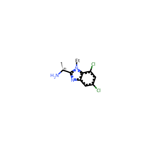 CCn1c([C@@H](C)N)nc2cc(Cl)cc(Cl)c21